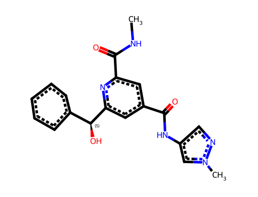 CNC(=O)c1cc(C(=O)Nc2cnn(C)c2)cc([C@@H](O)c2ccccc2)n1